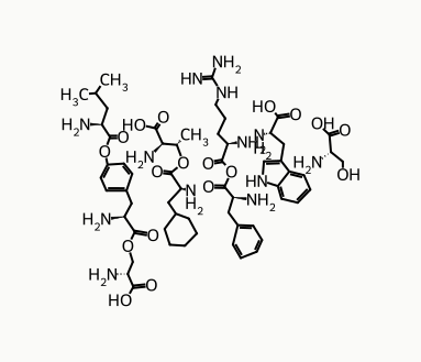 CC(C)C[C@H](N)C(=O)Oc1ccc(C[C@H](N)C(=O)OC[C@@H](N)C(=O)O)cc1.C[C@H](OC(=O)[C@@H](N)CC1CCCCC1)[C@@H](N)C(=O)O.N=C(N)NCCC[C@@H](N)C(=O)OC(=O)[C@@H](N)Cc1ccccc1.N[C@@H](CO)C(=O)O.N[C@@H](Cc1c[nH]c2ccccc12)C(=O)O